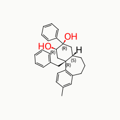 Cc1ccc2c(c1)CCC[C@H]1C[C@@](O)(c3ccccc3)[C@H](O)C[C@@]21Cc1ccccc1